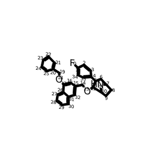 Fc1ccc(C2CC3CCC(N3)C2OCc2cc(OCc3ccccc3)c3ccccc3c2)cc1